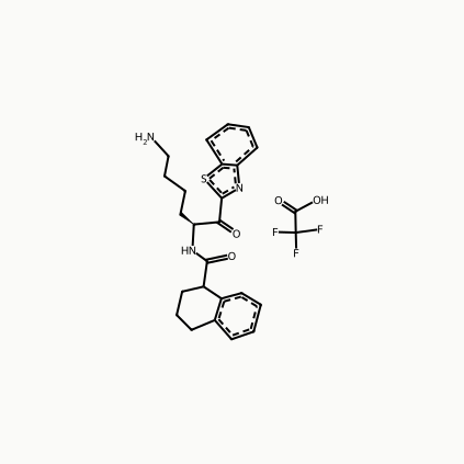 NCCCC[C@H](NC(=O)C1CCCc2ccccc21)C(=O)c1nc2ccccc2s1.O=C(O)C(F)(F)F